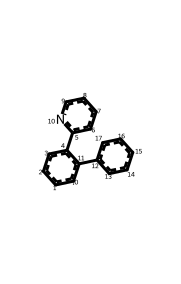 [c]1cccc(-c2ccccn2)c1-c1ccccc1